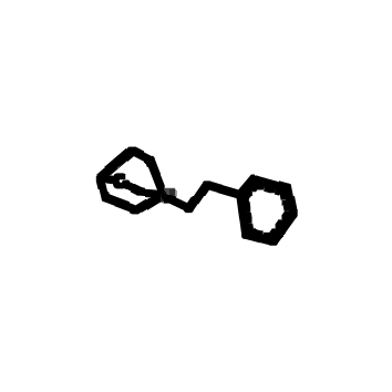 c1ccc(CC[N+]23CCC(CC2)CC3)cc1